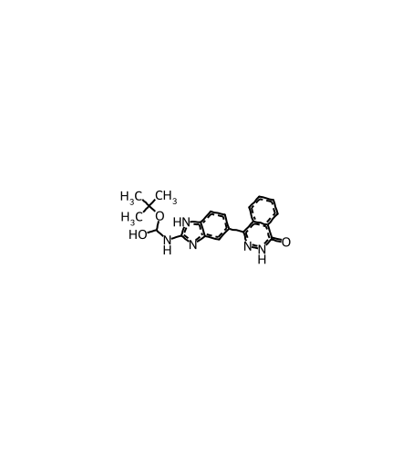 CC(C)(C)OC(O)Nc1nc2cc(-c3n[nH]c(=O)c4ccccc34)ccc2[nH]1